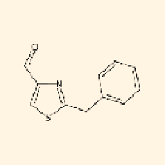 O=Cc1csc(Cc2ccccc2)n1